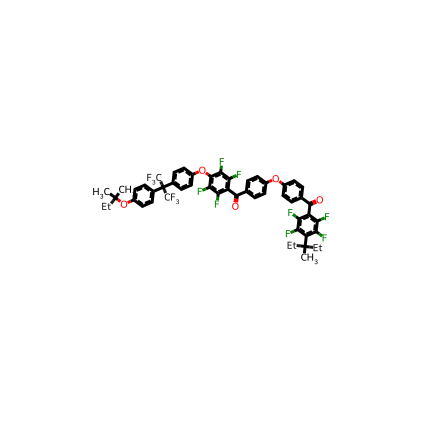 CCC(C)(C)Oc1ccc(C(c2ccc(Oc3c(F)c(F)c(C(=O)c4ccc(Oc5ccc(C(=O)c6c(F)c(F)c(C(C)(CC)CC)c(F)c6F)cc5)cc4)c(F)c3F)cc2)(C(F)(F)F)C(F)(F)F)cc1